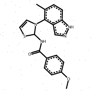 COc1ccc(C(=O)NC2SC=CN2c2c(C)ccc3[nH]ncc23)cc1